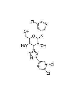 OCC1OC(Sc2cncc(Cl)c2)C(O)C(n2cc(-c3ccc(Cl)c(Cl)c3)nn2)C1O